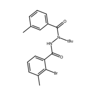 Cc1cccc(C(=O)N(NC(=O)c2cccc(C)c2Br)C(C)(C)C)c1